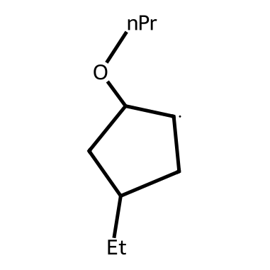 [CH2]CC1C[CH]C(OCCC)C1